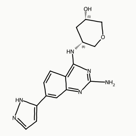 Nc1nc(N[C@H]2COC[C@@H](O)C2)c2ccc(-c3ccn[nH]3)cc2n1